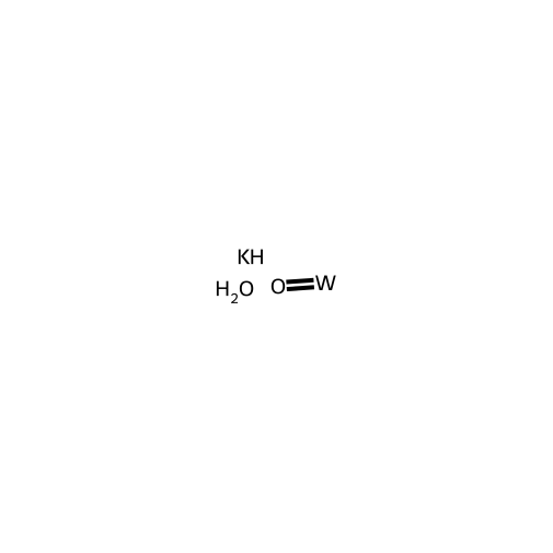 O.[KH].[O]=[W]